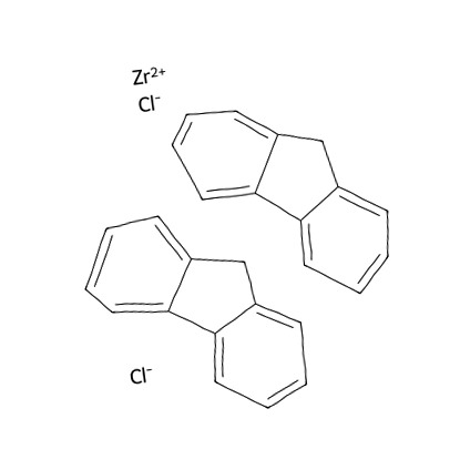 [Cl-].[Cl-].[Zr+2].c1ccc2c(c1)Cc1ccccc1-2.c1ccc2c(c1)Cc1ccccc1-2